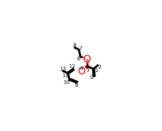 C=C(C)C(=O)OCCC.C=CC(=C)C